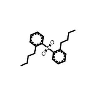 CCCCc1ccccc1S(=O)(=O)c1ccccc1CCCC